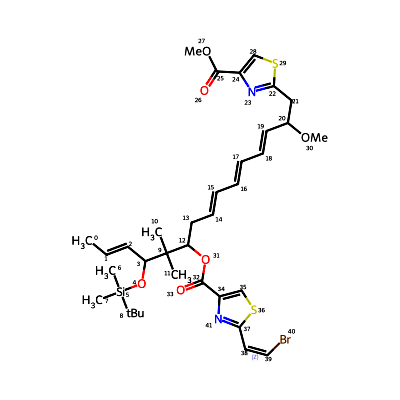 CC=CC(O[Si](C)(C)C(C)(C)C)C(C)(C)C(CC=CC=CC=CC(Cc1nc(C(=O)OC)cs1)OC)OC(=O)c1csc(/C=C\Br)n1